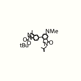 C=C(C)CN1Cc2c(cc(NC)cc2-c2ccc3c(c2)c(C)nn3C(=O)OC(C)(C)C)C1=O